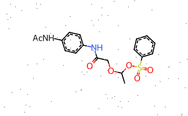 CC(=O)Nc1ccc(NC(=O)COC(C)OS(=O)(=O)c2ccccc2)cc1